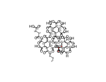 CCCOC(=O)c1c(C(=O)O)c(C(=O)OC(=O)CCC(=O)O)c(C(=O)OC(=O)c2c(C(=O)O)c(C(=O)O)c(C(=O)O)c(C(=O)O)c2C(=O)O)c(C(=O)OC(=O)c2c(C(=O)O)c(C(=O)O)c(C(=O)O)c(C(=O)O)c2C(=O)O)c1C(=O)OC(C)=O